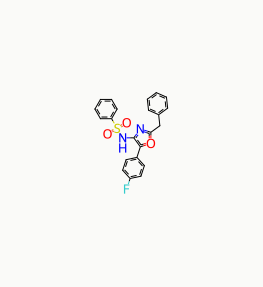 O=S(=O)(Nc1nc(Cc2ccccc2)oc1-c1ccc(F)cc1)c1ccccc1